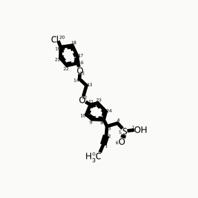 CC#CC(CS(=O)O)c1ccc(OCCOc2ccc(Cl)cc2)cc1